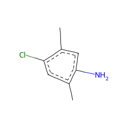 Cc1cc(Cl)c(C)cc1N